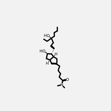 CCCC[C@@](O)(CC)C/C=C/[C@@H]1[C@H]2CC(CCCCC(=O)N(C)C)=C[C@H]2C[C@H]1O